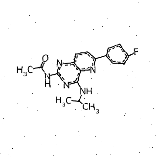 CC(=O)Nc1nc(NC(C)C)c2nc(-c3ccc(F)cc3)ccc2n1